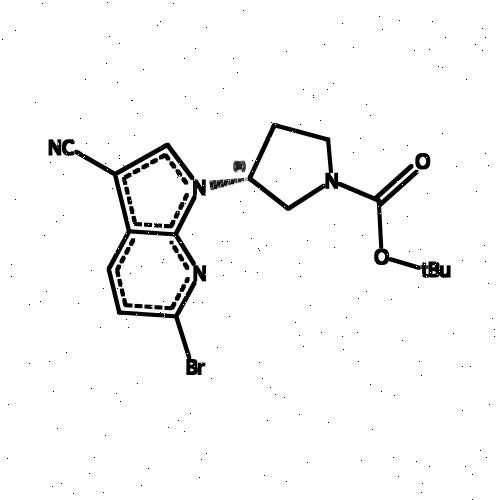 CC(C)(C)OC(=O)N1CC[C@@H](n2cc(C#N)c3ccc(Br)nc32)C1